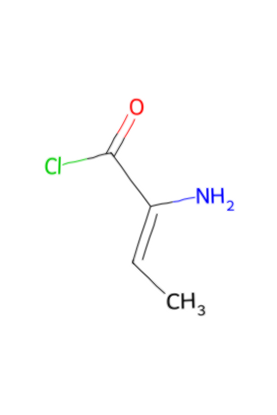 CC=C(N)C(=O)Cl